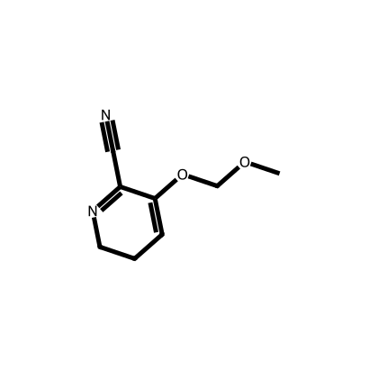 COCOC1=CCCN=C1C#N